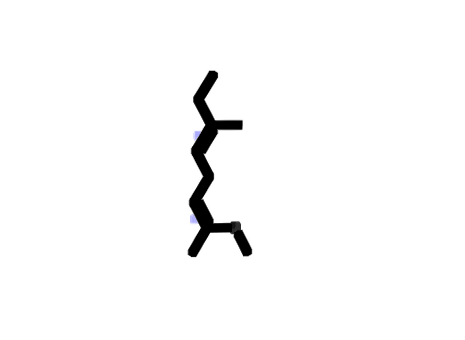 CC/C(C)=C/C/C=C(/C)OC